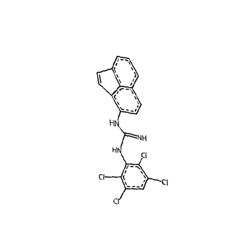 N=C(Nc1ccc2cccc3c2c1C=C3)Nc1c(Cl)c(Cl)cc(Cl)c1Cl